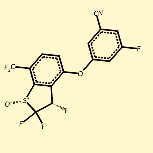 N#Cc1cc(F)cc(Oc2ccc(C(F)(F)F)c3c2[C@H](F)C(F)(F)[S@+]3[O-])c1